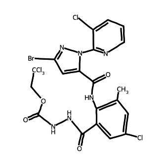 Cc1cc(Cl)cc(C(=O)NNC(=O)OCC(Cl)(Cl)Cl)c1NC(=O)c1cc(Br)nn1-c1ncccc1Cl